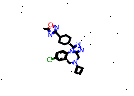 Cc1nc(C2CCC(c3nnc4n3-c3ccc(Cl)cc3CN(C3=CC=C3)C4)CC2)no1